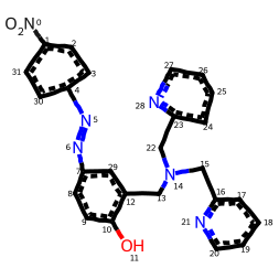 O=[N+]([O-])c1ccc(/N=N/c2ccc(O)c(CN(Cc3ccccn3)Cc3ccccn3)c2)cc1